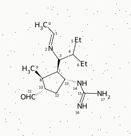 C/C=N/C(C(CC)CC)[C@@H]1[C@H](C)[C@@H](C=O)C[C@H]1NC(=N)N